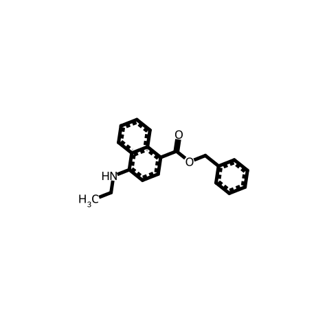 CCNc1ccc(C(=O)OCc2ccccc2)c2ccccc12